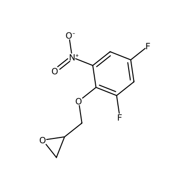 O=[N+]([O-])c1cc(F)cc(F)c1OCC1CO1